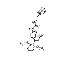 COc1cccc(OC)c1-c1c[nH]c2nc(NC(=O)NCCN3CC4CC(C3)N4C)ccc12